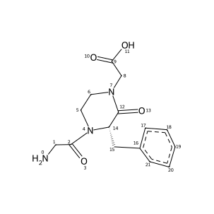 NCC(=O)N1CCN(CC(=O)O)C(=O)[C@@H]1Cc1ccccc1